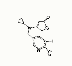 O=C1C=C(N(Cc2cnc(Cl)c(I)c2)C2CC2)CO1